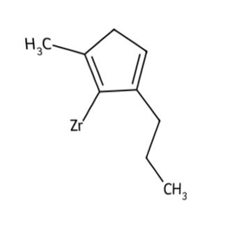 CCCC1=CCC(C)=[C]1[Zr]